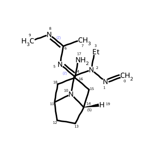 C=NN(CC)/C(=N\C(C)=N/C)N1C2CC[C@H]1CC(N)C2